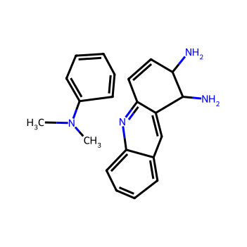 CN(C)c1ccccc1.NC1C=Cc2nc3ccccc3cc2C1N